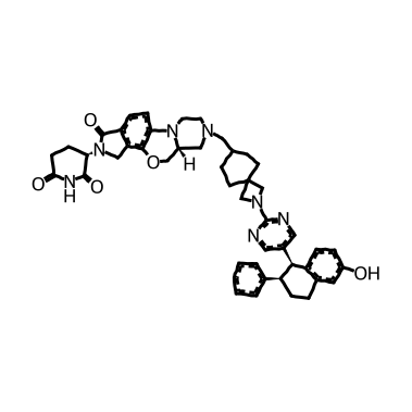 O=C1CC[C@H](N2Cc3c(ccc4c3OC[C@H]3CN(CC5CCC6(CC5)CN(c5ncc([C@H]7c8ccc(O)cc8CC[C@H]7c7ccccc7)cn5)C6)CCN43)C2=O)C(=O)N1